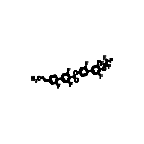 CCCc1ccc(-c2cc(F)c(C(=O)Oc3ccc(-c4cc(F)c(OC(F)(F)C(F)F)c(F)c4)c(F)c3)c(F)c2)c(F)c1